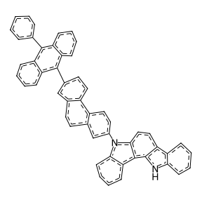 c1ccc(-c2c3ccccc3c(-c3ccc4c(ccc5cc(-n6c7ccccc7c7c8[nH]c9ccccc9c8ccc76)ccc54)c3)c3ccccc23)cc1